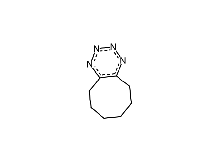 C1CCCc2nnnnc2CC1